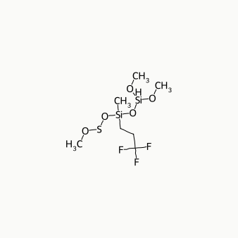 COSO[Si](C)(CCC(F)(F)F)O[SiH](OC)OC